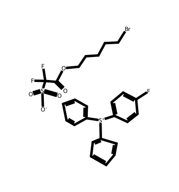 Fc1ccc([S+](c2ccccc2)c2ccccc2)cc1.O=C(OCCCCCBr)C(F)(F)S(=O)(=O)[O-]